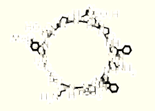 CCCC[C@H]1C(=O)N[C@@H](CCCN)C(=O)NCCSCC(=O)N[C@@H](Cc2ccc(OC)cc2)C(=O)N(C)CC(=O)N[C@@H](CC(=O)O)C(=O)N2CCCC2C(=O)N[C@@H](Cc2cnc[nH]2)C(=O)N[C@@H](CCC(=O)O)C(=O)N2CCCC2C(=O)N[C@@H](Cc2c[nH]c3ccccc23)C(=O)N[C@@H](CCN)C(=O)N[C@@H](Cc2c[nH]c3ccccc23)C(=O)N(C)CC(=O)N1C